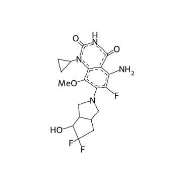 COc1c(N2CC3CC(F)(F)C(O)C3C2)c(F)c(N)c2c(=O)[nH]c(=O)n(C3CC3)c12